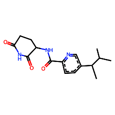 CC(C)C(C)c1ccc(C(=O)NC2CCC(=O)NC2=O)nc1